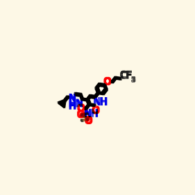 CS(=O)(=O)NC(=O)c1c(C(=N)/C=C\NCC2CC2)cc(-c2ccc(OCCCC(F)(F)F)cc2)[nH]c1=O